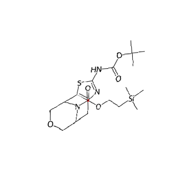 CC(C)(C)OC(=O)Nc1nc2c(s1)C1COCC(C2)N1C(=O)OCC[Si](C)(C)C